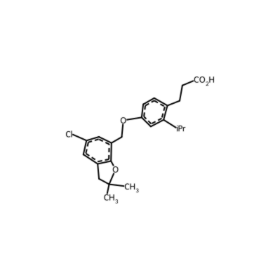 CC(C)c1cc(OCc2cc(Cl)cc3c2OC(C)(C)C3)ccc1CCC(=O)O